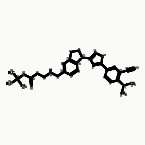 CN(C)c1ccc(-c2nc(N3CCc4cc(CNCCC(=O)OC(C)(C)C)ccc43)no2)cc1C#N